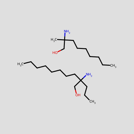 CCCCCCCC(C)(N)CO.CCCCCCCCC(N)(CO)CCC